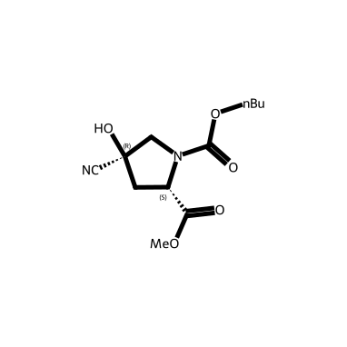 CCCCOC(=O)N1C[C@@](O)(C#N)C[C@H]1C(=O)OC